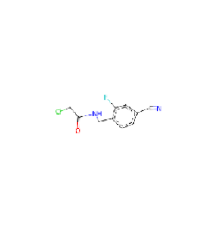 N#Cc1ccc(CNC(=O)CCl)c(F)c1